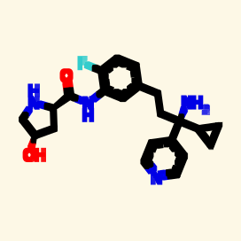 N[C@](CCc1ccc(F)c(NC(=O)[C@H]2C[C@@H](O)CN2)c1)(c1ccncc1)C1CC1